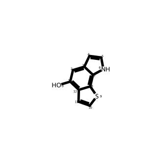 Oc1cc2cc[nH]c2c2sccc12